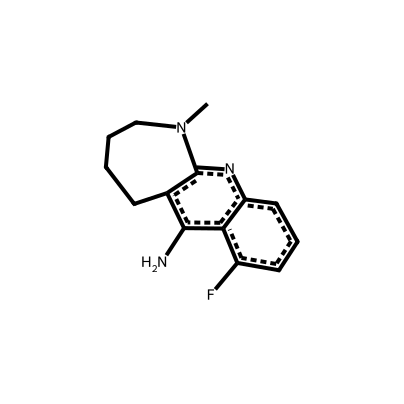 CN1CCCCc2c1nc1cccc(F)c1c2N